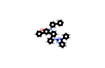 c1ccc(-c2cccc(-n3c4cc5oc6ccccc6c5cc4c4c5c6ccccc6n(-c6nc(-c7ccccc7)c7ccccc7n6)c5ccc43)c2)cc1